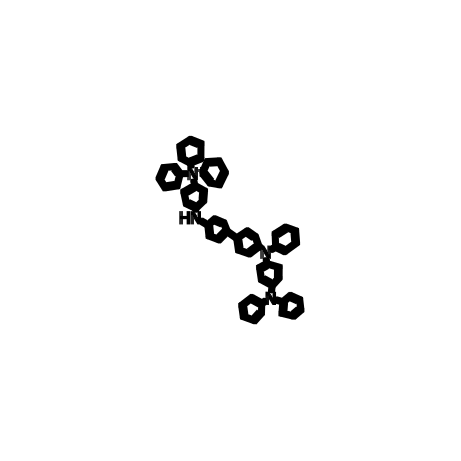 c1ccc(N(c2ccccc2)c2ccc(N(c3ccccc3)c3ccc(-c4ccc(Nc5ccc([N+](c6ccccc6)(c6ccccc6)c6ccccc6)cc5)cc4)cc3)cc2)cc1